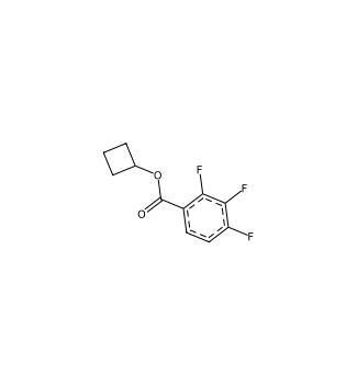 O=C(OC1CCC1)c1ccc(F)c(F)c1F